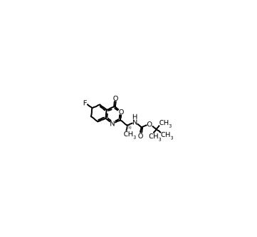 C[C@H](NC(=O)OC(C)(C)C)c1nc2c(c(=O)o1)=CC(F)CC=2